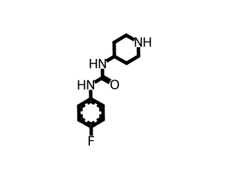 O=C(Nc1ccc(F)cc1)NC1CCNCC1